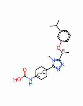 CC(C)c1cccc(O[C@@H](C)c2nnc(C34CCC(NC(=O)O)(CC3)CC4)n2C)c1